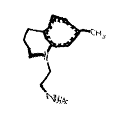 CC(=O)NCCN1CCCc2ccc(C)cc21